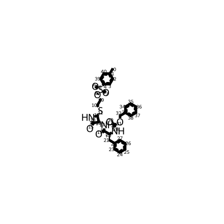 Cc1ccc(S(=O)(=O)OCCSC2NC(=O)[C@H]2NC(=O)[C@H](Cc2ccccc2)NC(=O)OCc2ccccc2)cc1